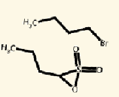 CCCC1OS1(=O)=O.CCCCBr